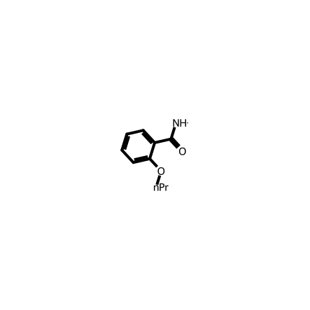 CCCOc1ccccc1C([NH])=O